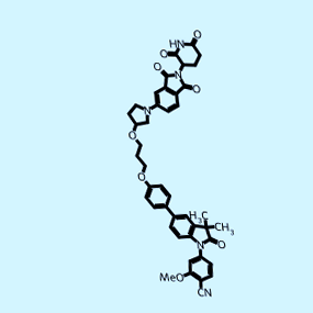 COc1cc(N2C(=O)C(C)(C)c3cc(-c4ccc(OCCCOC5CCN(c6ccc7c(c6)C(=O)N(C6CCC(=O)NC6=O)C7=O)C5)cc4)ccc32)ccc1C#N